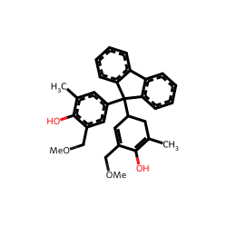 COCC1=CC(C2(c3cc(C)c(O)c(COC)c3)c3ccccc3-c3ccccc32)CC(C)=C1O